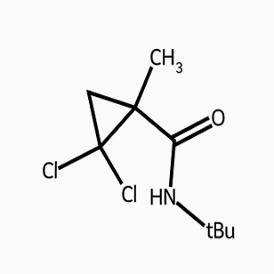 CC(C)(C)NC(=O)C1(C)CC1(Cl)Cl